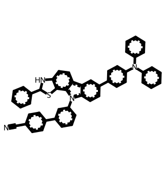 N#Cc1ccc(-c2cccc(-n3c4ccc(-c5ccc(N(c6ccccc6)c6ccccc6)cc5)cc4c4ccc5c(c43)SC(c3ccccc3)N5)c2)cc1